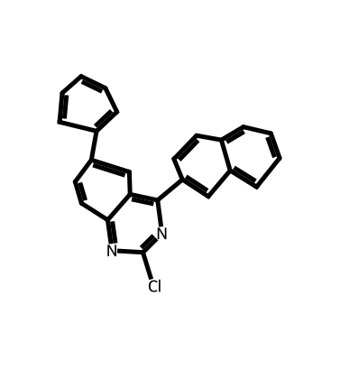 Clc1nc(-c2ccc3ccccc3c2)c2cc(-c3ccccc3)ccc2n1